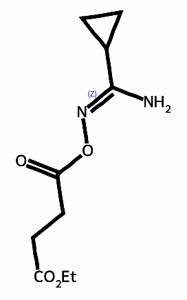 CCOC(=O)CCC(=O)O/N=C(\N)C1CC1